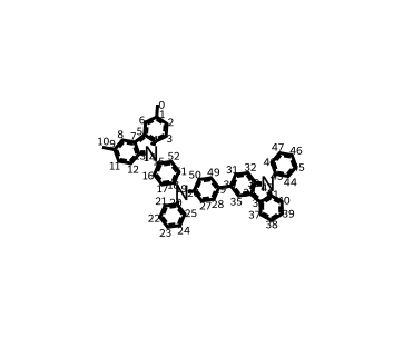 Cc1ccc2c(c1)c1cc(C)ccc1n2-c1ccc(N(c2ccccc2)c2ccc(-c3ccc4c(c3)c3ccccc3n4-c3ccccc3)cc2)cc1